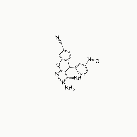 N#Cc1ccc2c(c1)Oc1ncn(N)c(=N)c1C2c1cccc(N=O)c1